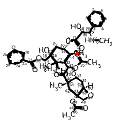 CN[C@@H](c1ccccc1)[C@@H](O)C(=O)O[C@H]1C[C@@](O)([C@H](C)OC(=O)c2ccccc2)C(C)(C)C([C@@H](OC(C)=O)C(=O)[C@@]2(C)C[C@]3(OC(C)=O)CO[C@@H]3C[C@@H]2O)=C1C